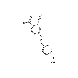 N#Cc1cc(C=Cc2ccc(CO)cc2)ccc1[N+](=O)[O-]